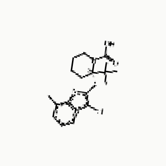 Cc1cccn2c(Cl)c(C[C@]3(C(C)(C)C)CCCCN3C(=O)O)nc12